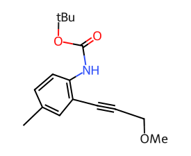 COCC#Cc1cc(C)ccc1NC(=O)OC(C)(C)C